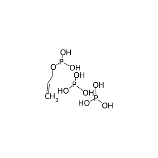 C=CCOP(O)O.OP(O)O.OP(O)O